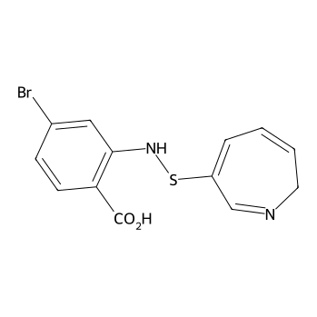 O=C(O)c1ccc(Br)cc1NSC1=CC=CCN=C1